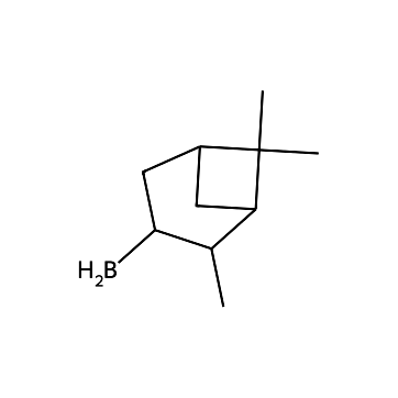 BC1CC2CC(C1C)C2(C)C